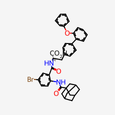 O=C(N[C@@H](Cc1ccc(-c2ccccc2Oc2ccccc2)cc1)C(=O)O)c1cc(Br)ccc1NC(=O)C12CC3CC(CC(C3)C1)C2